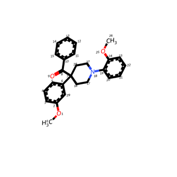 COc1cccc(C2(C(=O)c3ccccc3)CCN(c3ccccc3OC)CC2)c1